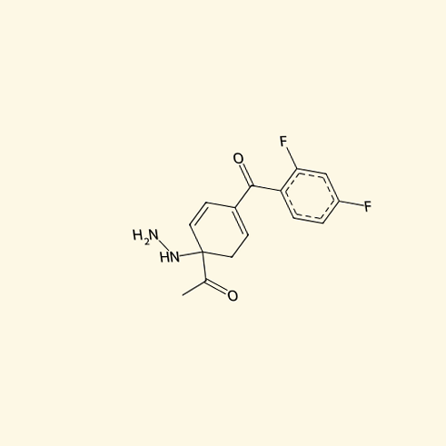 CC(=O)C1(NN)C=CC(C(=O)c2ccc(F)cc2F)=CC1